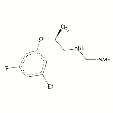 CCc1cc(F)cc(O[C@@H](C)CNCSC)c1